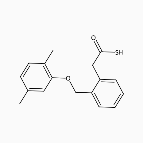 Cc1ccc(C)c(OCc2ccccc2CC(=O)S)c1